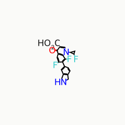 O=C(O)c1cn(C2CC2F)c2c(F)c(-c3ccc4c(c3)CNC4)c(F)cc2c1=O